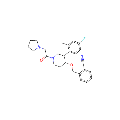 Cc1cc(F)ccc1C1CN(C(=O)CN2CCCC2)CCC1OCc1ccccc1C#N